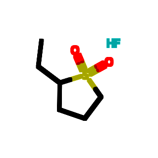 CCC1CCCS1(=O)=O.F